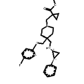 CC(C)(C)OC(=O)C1(CN2CCC(CN[C@@H]3C[C@H]3c3ccccc3)(COc3ccc(F)cn3)CC2)CC1